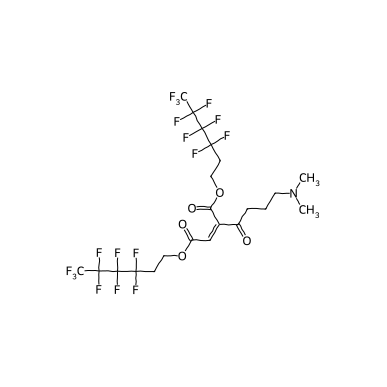 CN(C)CCCC(=O)/C(=C/C(=O)OCCC(F)(F)C(F)(F)C(F)(F)C(F)(F)F)C(=O)OCCC(F)(F)C(F)(F)C(F)(F)C(F)(F)F